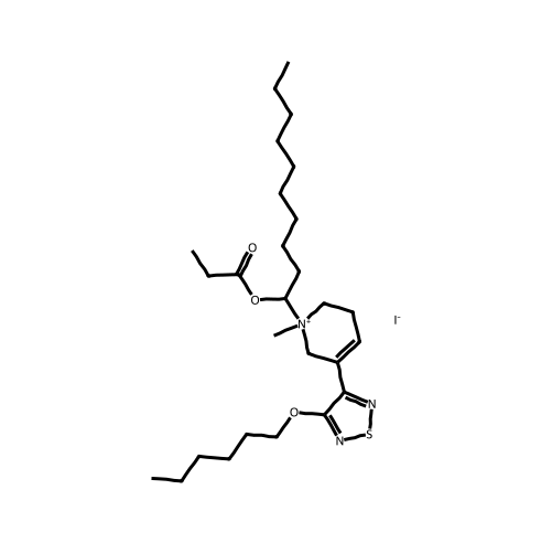 CCCCCCCCCC(OC(=O)CC)[N+]1(C)CCC=C(c2nsnc2OCCCCCC)C1.[I-]